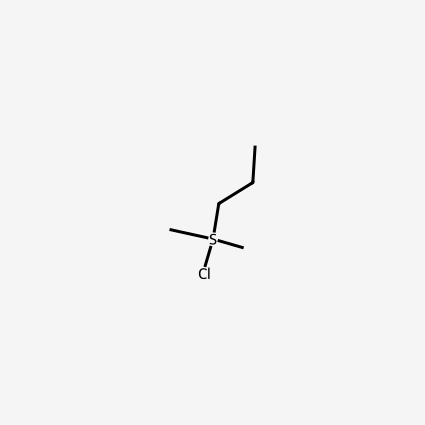 CCCS(C)(C)Cl